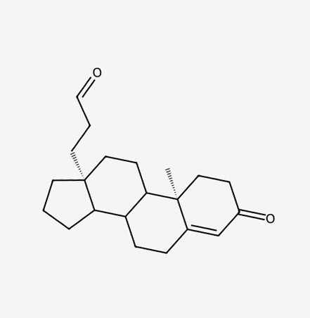 C[C@]12CCC(=O)C=C1CCC1C3CCC[C@@]3(CCC=O)CCC12